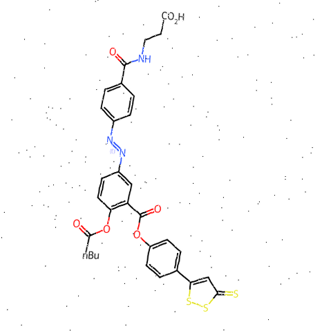 CCCCC(=O)Oc1ccc(/N=N/c2ccc(C(=O)NCCC(=O)O)cc2)cc1C(=O)Oc1ccc(-c2cc(=S)ss2)cc1